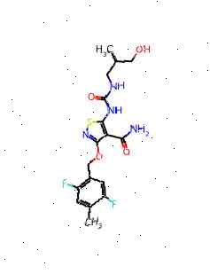 Cc1cc(F)c(COc2nsc(NC(=O)NCC(C)CO)c2C(N)=O)cc1F